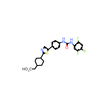 O=C(O)CC1CCC(c2ncc(-c3ccc(NC(=O)Nc4cc(F)c(F)cc4F)cc3)s2)CC1